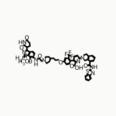 COc1c(NC(=O)CN2CCC(CCCOc3ccc(-c4ccc(N5CCc6cccc(C(=O)Nc7nc8ccccc8s7)c6C5)nc4C(=O)O)c(C(F)(F)F)c3)CC2)ccc2c(C3CCC(=O)NC3=O)nn(C)c12